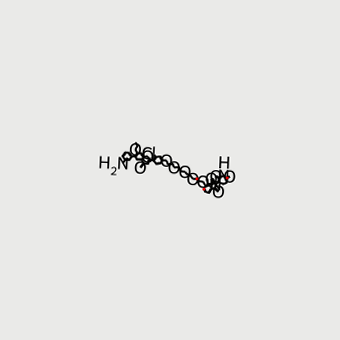 CCOc1cc2oc(-c3ccc(OCCOCCOCCOCCOc4cccc5c4C(=O)N(C4CCC(=O)NC4=O)C5=O)cc3Cl)cc(=O)c2cc1-c1cccc(N)c1